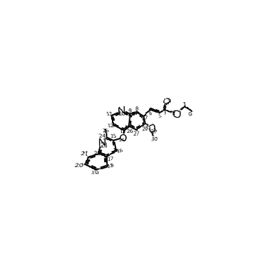 CCOC(=O)C=Cc1cc2nccc(Oc3cc4ccccc4nc3C)c2cc1OC